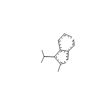 Cc1[nH]c2cnccc2c1C(C)N